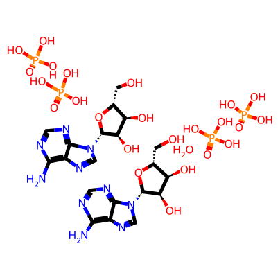 Nc1ncnc2c1ncn2[C@@H]1O[C@H](CO)[C@@H](O)[C@H]1O.Nc1ncnc2c1ncn2[C@@H]1O[C@H](CO)[C@@H](O)[C@H]1O.O.O=P(O)(O)O.O=P(O)(O)O.O=P(O)(O)O.O=P(O)(O)O